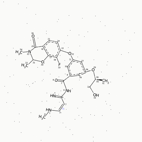 CN/C=C\C(=N)NC(=O)c1cc(Oc2ccc3c(c2F)OC(C)N(C)C3=O)cc(O[C@@H](C)CO)c1